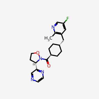 Cc1ncc(F)cc1C[C@H]1CC[C@H](C(=O)N2OCC[C@H]2c2cnccn2)CC1